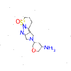 NC1COCC(N2Cc3nn4c(c3C2)CCC[S+]4[O-])C1